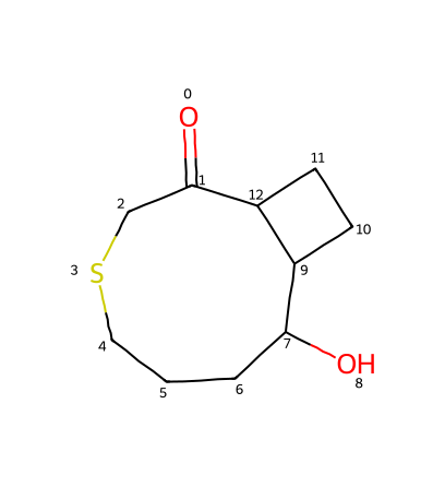 O=C1CSCCCC(O)C2CCC12